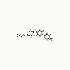 ClCCCN1CCN(Cc2ccc(-c3ccc(Cl)cc3)cc2)CC1